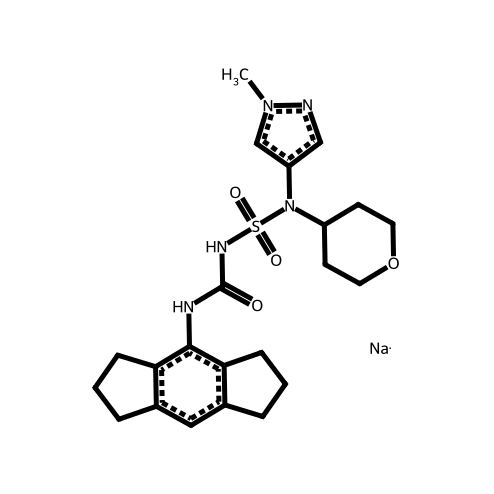 Cn1cc(N(C2CCOCC2)S(=O)(=O)NC(=O)Nc2c3c(cc4c2CCC4)CCC3)cn1.[Na]